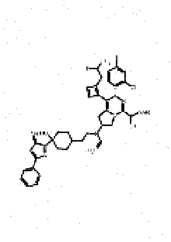 C=CN(CCC1CCC(O)(C2=NC(c3ccccn3)=CC2=N)CC1)C1CC2=C(C3=C(CC(C)F)C=C3)[C@H](c3ccc(F)cc3Cl)N=C(C(S)NC)N2C1